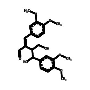 COc1ccc(/C=C(/C=O)C(CO)C(O)c2ccc(OC)c(OC)c2)cc1OC